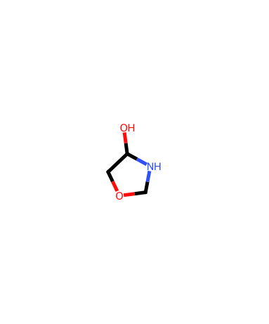 OC1COCN1